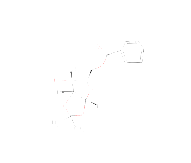 CC1(C)O[C@H]2O[C@H](COC(=O)c3ccccc3)[C@@](C)(O)[C@H]2O1